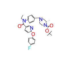 CCN(C(=O)c1ccc(Oc2ccc(F)cc2)nc1)c1ccc(CN2CCN(C(=O)OC(C)(C)C)[C@@H](C)C2)cc1